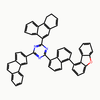 C1=Cc2cc(-c3nc(-c4ccc5ccc6ccccc6c5c4)nc(-c4cccc5c(-c6cccc7oc8ccccc8c67)cccc45)n3)c3ccccc3c2CC1